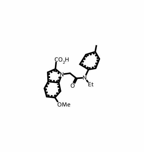 CCN(C(=O)Cn1c(C(=O)O)cc2ccc(OC)cc21)c1ccc(C)cc1